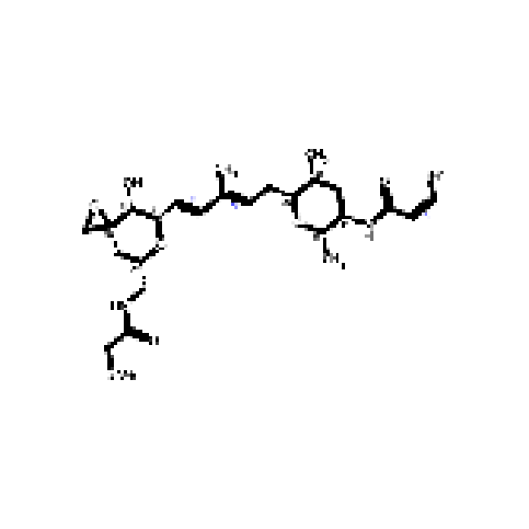 CSCC(=O)NC[C@@H]1C[C@@]2(CO2)[C@H](O)[C@@H](/C=C/C(C)=C/C[C@@H]2O[C@H](C)[C@H](NC(=O)/C=C\C(C)C)C[C@@H]2C)O1